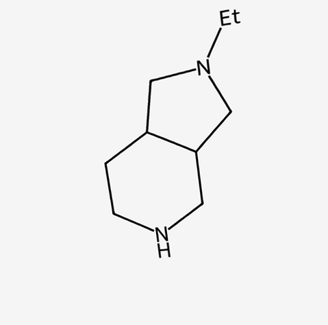 CCN1CC2CCNCC2C1